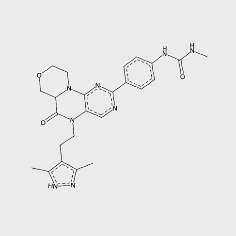 CNC(=O)Nc1ccc(-c2ncc3c(n2)N2CCOCC2C(=O)N3CCc2c(C)n[nH]c2C)cc1